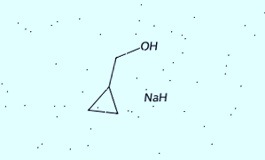 OCC1CC1.[NaH]